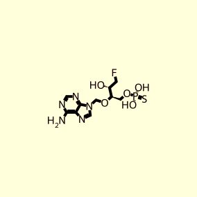 Nc1ncnc2c1ncn2CO[C@H](COP(O)(O)=S)[C@H](O)CF